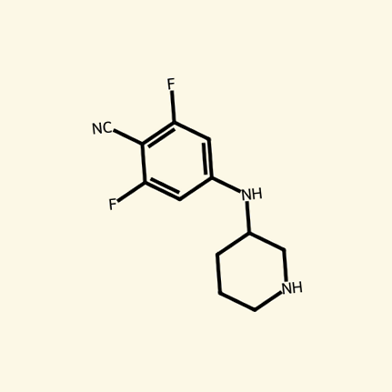 N#Cc1c(F)cc(NC2CCCNC2)cc1F